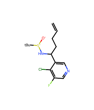 C=CCCC(N[S+]([O-])C(C)(C)C)c1cncc(F)c1Cl